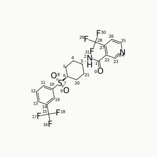 O=C(N[C@H]1CC[C@H](S(=O)(=O)c2cccc(C(F)(F)F)c2)CC1)c1cnccc1C(F)(F)F